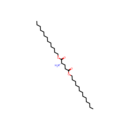 CCCCCCCCCCCCCOC(=O)CC[C@H](N)C(=O)OCCCCCCCCCCCCC